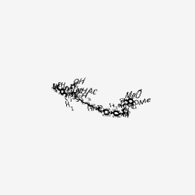 COc1cc(OC)c(Cl)c(NC(=O)N(C)c2cc(Nc3ccc(N4CCN(CC(=O)NCCCCCSC(C)(C)[C@H](NC(C)=O)C(=O)N5C[C@H](O)C[C@H]5C(=O)N[C@@H](C)c5ccc(-c6scnc6C)cc5)CC4)cc3)ncn2)c1Cl